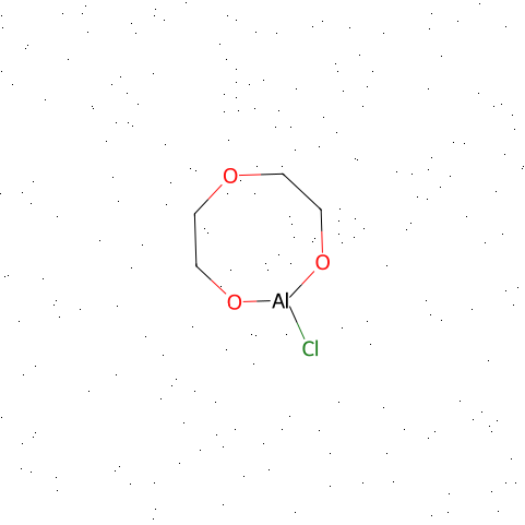 [Cl][Al]1[O]CCOCC[O]1